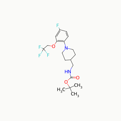 CC(C)(C)OC(=O)NCC1CCN(c2ccc(F)cc2OCC(F)(F)F)CC1